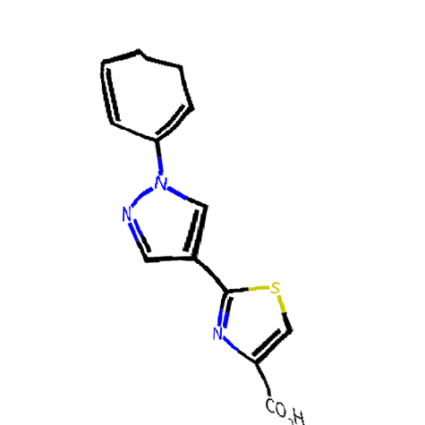 O=C(O)c1csc(-c2cnn(C3=CCCC=C3)c2)n1